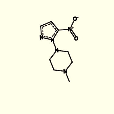 CN1CCN(n2nccc2[N+](=O)[O-])CC1